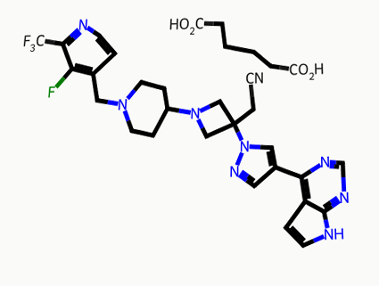 N#CCC1(n2cc(-c3ncnc4[nH]ccc34)cn2)CN(C2CCN(Cc3ccnc(C(F)(F)F)c3F)CC2)C1.O=C(O)CCCCC(=O)O